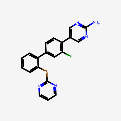 Nc1ncc(-c2ccc(-c3ccccc3Sc3ncccn3)cc2F)cn1